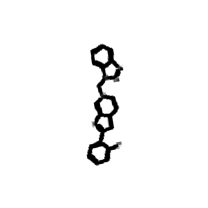 Fc1ccccc1-c1cc2ccn(Cn3nnc4ccccc43)cc-2n1